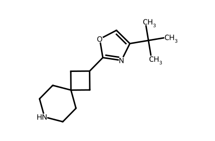 CC(C)(C)c1coc(C2CC3(CCNCC3)C2)n1